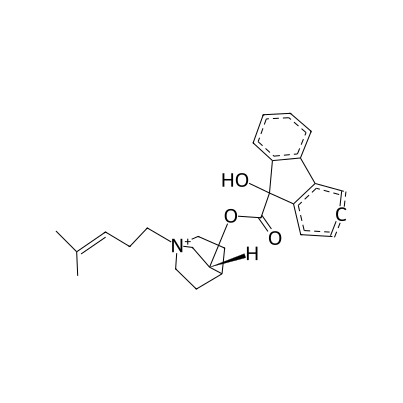 CC(C)=CCC[N+]12CCC(CC1)[C@@H](OC(=O)C1(O)c3ccccc3-c3ccccc31)C2